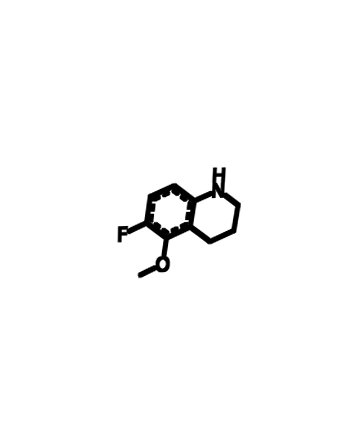 COc1c(F)ccc2c1CCCN2